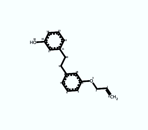 C=CCOc1cccc(C[CH]c2cccc(O)c2)c1